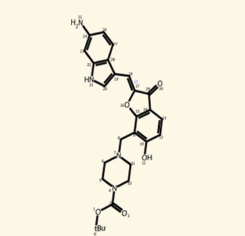 CC(C)(C)OC(=O)N1CCN(Cc2c(O)ccc3c2O/C(=C\c2c[nH]c4cc(N)ccc24)C3=O)CC1